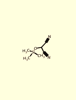 C[Si](C)(C)OC(C#N)C#N